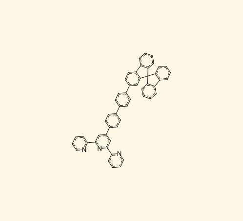 c1ccc(-c2cc(-c3ccc(-c4ccc(-c5ccc6c(c5)C5(c7ccccc7-c7ccccc75)c5ccccc5-6)cc4)cc3)cc(-c3ccccn3)n2)nc1